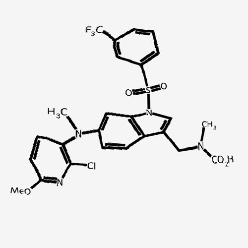 COc1ccc(N(C)c2ccc3c(CN(C)C(=O)O)cn(S(=O)(=O)c4cccc(C(F)(F)F)c4)c3c2)c(Cl)n1